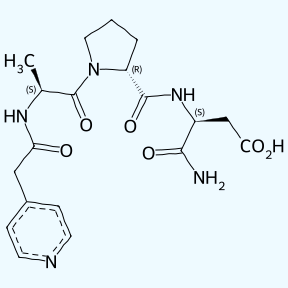 C[C@H](NC(=O)Cc1ccncc1)C(=O)N1CCC[C@@H]1C(=O)N[C@@H](CC(=O)O)C(N)=O